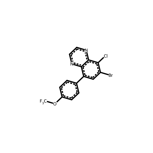 FC(F)(F)Oc1ccc(-c2cc(Br)c(Cl)c3nccnc23)cc1